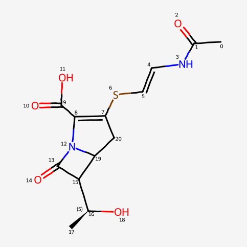 CC(=O)NC=CSC1=C(C(=O)O)N2C(=O)C([C@H](C)O)C2C1